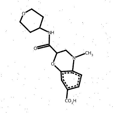 CN1CC(C(=O)NC2CCOCC2)Oc2cc(C(=O)O)ccc21